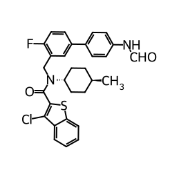 C[C@H]1CC[C@H](N(Cc2cc(-c3ccc(NC=O)cc3)ccc2F)C(=O)c2sc3ccccc3c2Cl)CC1